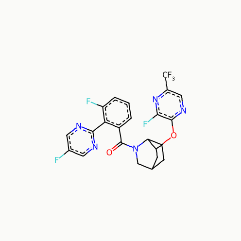 O=C(c1cccc(F)c1-c1ncc(F)cn1)N1CC2CCC1C(Oc1ncc(C(F)(F)F)nc1F)C2